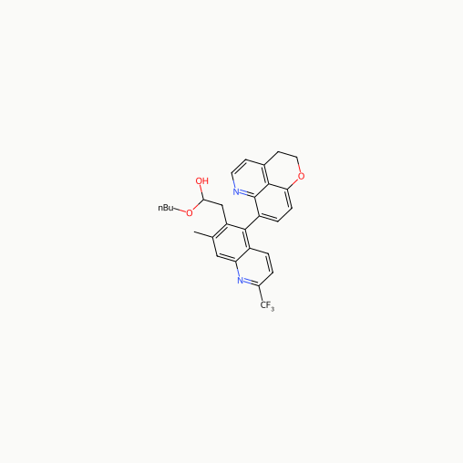 CCCCOC(O)Cc1c(C)cc2nc(C(F)(F)F)ccc2c1-c1ccc2c3c(ccnc13)CCO2